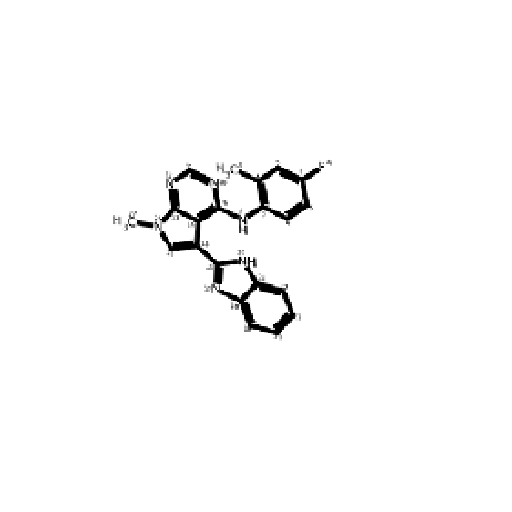 Cc1cc(F)ccc1Nc1ncnc2c1c(-c1nc3ccccc3[nH]1)cn2C